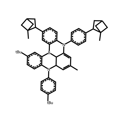 CC1=CC2C3B(c4cc(C5CC6CC5(C)C6)ccc4N(c4ccc(C5CC6CC5(C)C6)cc4)C3=C1)c1cc(C(C)(C)C)ccc1N2c1ccc(C(C)(C)C)cc1